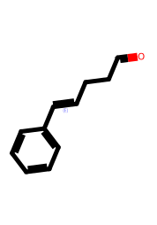 O=[C]CC/C=C/c1ccccc1